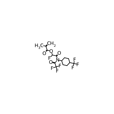 C=C(C)C(=O)OC(F)C(=O)N(C(=O)C(F)(F)F)C1CCC(C(F)(F)F)CC1